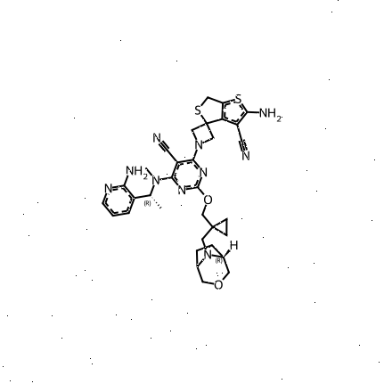 C[C@H](c1cccnc1N)N(C)c1nc(OCC2(CN3C4CC[C@@H]3COC4)CC2)nc(N2CC3(C2)SCc2sc(N)c(C#N)c23)c1C#N